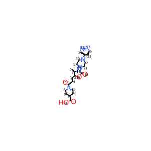 CC1C(CCC(=O)N2CCC(C(=O)O)CC2)OC(=O)N1N1CCN(c2ccnnc2)CC1